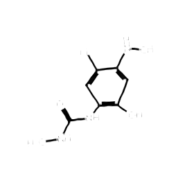 CNC(=O)Nc1cc(Cl)c(NC)cc1O